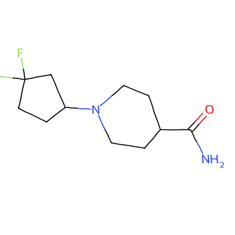 NC(=O)C1CCN(C2CCC(F)(F)C2)CC1